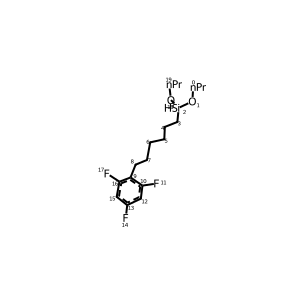 CCCO[SiH](CCCCCCc1c(F)cc(F)cc1F)OCCC